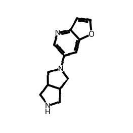 c1cc2ncc(N3CC4CNCC4C3)cc2o1